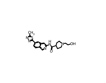 Cc1nnc(-c2ccc3cnc(NC(=O)C4CCN(CCO)CC4)cc3c2)s1